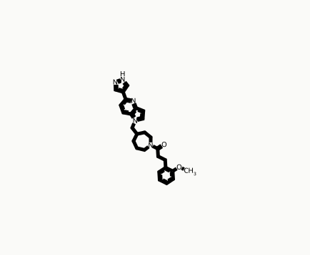 COc1ccccc1CCC(=O)N1CCCC(Cn2ccc3nc(-c4cn[nH]c4)ccc32)CC1